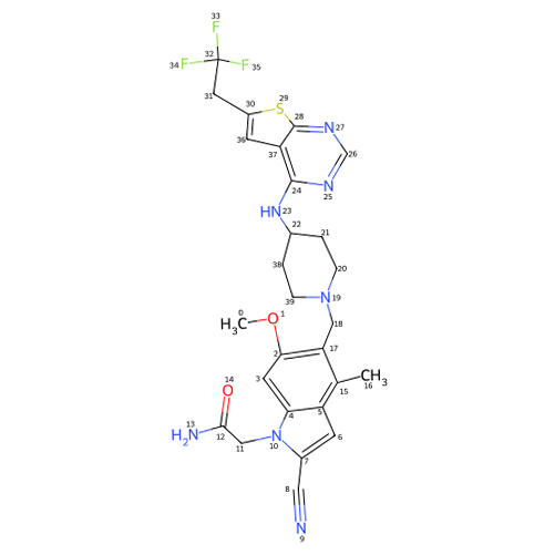 COc1cc2c(cc(C#N)n2CC(N)=O)c(C)c1CN1CCC(Nc2ncnc3sc(CC(F)(F)F)cc23)CC1